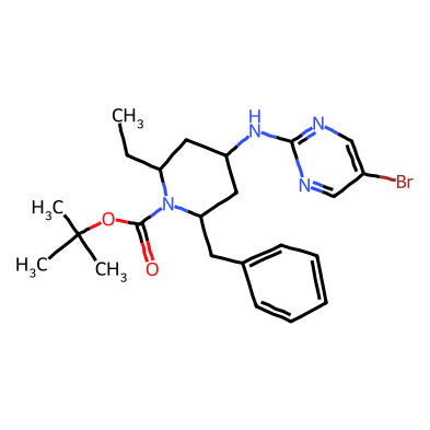 CCC1CC(Nc2ncc(Br)cn2)CC(Cc2ccccc2)N1C(=O)OC(C)(C)C